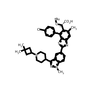 Cc1cc2nc(-c3ccc4c(c3)c(C3CCN(C5CC(C)(C)C5)CC3)nn4C)sc2c(-c2ccc(Cl)cc2)c1[C@H](OC(C)(C)C)C(=O)O